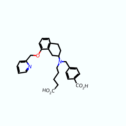 O=C(O)CCCCN(Cc1ccc(C(=O)O)cc1)C1CCc2cccc(OCc3ccccn3)c2C1